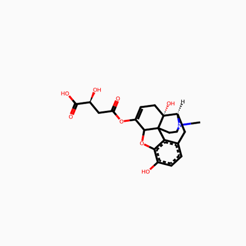 CN1CCC23c4c5ccc(O)c4OC2C(OC(=O)C[C@H](O)C(=O)O)=CC[C@@]3(O)[C@H]1C5